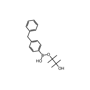 CC(C)(O)C(C)(C)OB(O)c1ccc(Cc2ccccc2)cc1